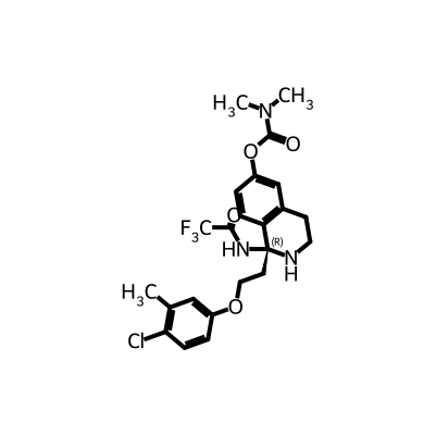 Cc1cc(OCC[C@]2(NC(=O)C(F)(F)F)NCCc3cc(OC(=O)N(C)C)ccc32)ccc1Cl